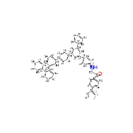 C=C/C(=C\C)c1ccc(C(=O)CNc2ccc(-c3cc(-c4ccccc4)cc(-c4ccc(-c5ccc6c7ccccc7c7ccccc7c6c5)cc4)c3)cc2)cc1